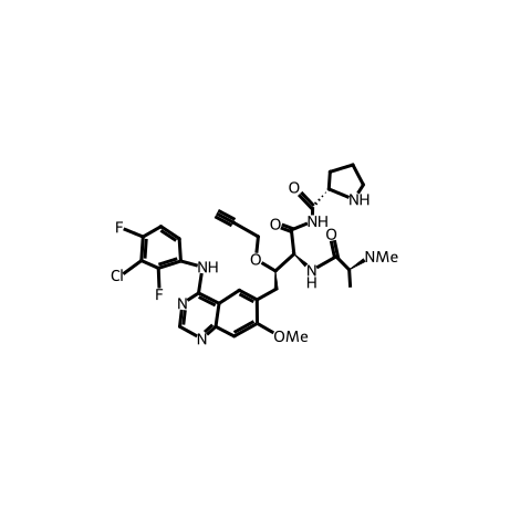 C#CCO[C@H](Cc1cc2c(Nc3ccc(F)c(Cl)c3F)ncnc2cc1OC)[C@H](NC(=O)[C@H](C)NC)C(=O)NC(=O)[C@@H]1CCCN1